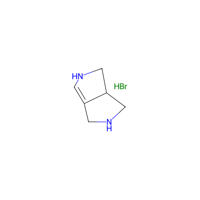 Br.C1=C2CNCC2CN1